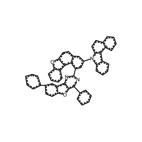 c1ccc(-c2ccc3oc4c(-c5ccccc5)nc(-c5cc(-n6c7ccccc7c7c8ccccc8ccc76)cc6ccc7oc8ccccc8c7c56)nc4c3c2)cc1